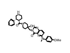 COc1ccc(N(C)c2ccc3ncn(CC4(O)CCN(C(=O)[C@@H]5CCNC[C@H]5c5ccccc5)CC4)c(=O)c3n2)cc1